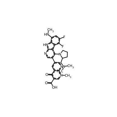 CNc1cc(F)c(F)c2c1[nH]c1ncc(-c3cnc4c(c3)c(=O)c(C(=O)O)cn4C)c(N3CCCC3CN(C)C)c12